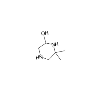 CC1(C)CNCC(O)N1